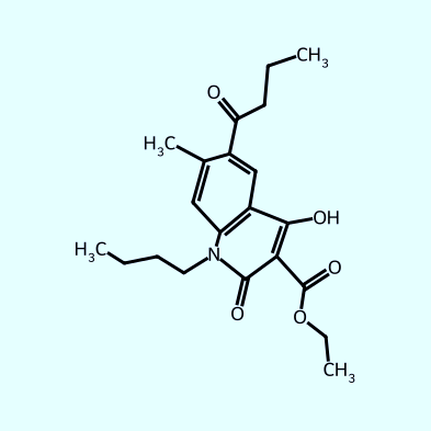 CCCCn1c(=O)c(C(=O)OCC)c(O)c2cc(C(=O)CCC)c(C)cc21